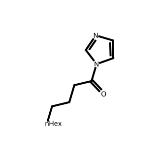 CCCCCCCCCC(=O)n1ccnc1